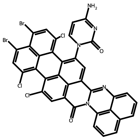 Nc1ccn(-c2cc3c4c(cc(Cl)c5c6c(Cl)cc(Br)c7c(Br)cc(Cl)c(c2c54)c76)c(=O)n2c4cccc5cccc(nc32)c54)c(=O)n1